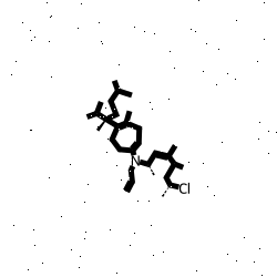 C=CCN(C1=CCC(C)=C([C@@](C)(CCC(C)C)C(C)C)CC1)[C@@H](C)/C=C(/C)C(C)C[C@@H](C)Cl